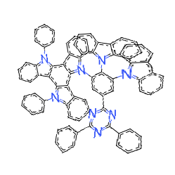 c1ccc(-c2nc(-c3ccccc3)nc(-c3cc(-n4c5ccccc5c5ccccc54)c(-n4c5ccccc5c5ccccc54)c(-n4c5ccccc5c5c6c(c7ccccc7n6-c6ccccc6)c6c(c7ccccc7n6-c6ccccc6)c54)c3)n2)cc1